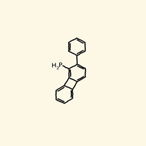 Pc1c(-c2ccccc2)ccc2c1-c1ccccc1-2